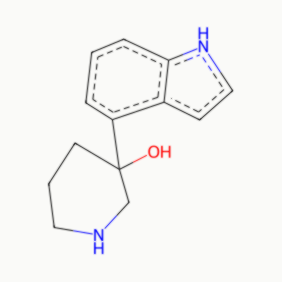 OC1(c2cccc3[nH]ccc23)CCCNC1